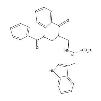 O=C(SCC(CN[C@@H](Cc1c[nH]c2ccccc12)C(=O)O)C(=O)c1ccccc1)c1ccccc1